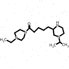 CCN1CCN(C(=O)CCCCC2CN(C(C)C)CCN2)CC1